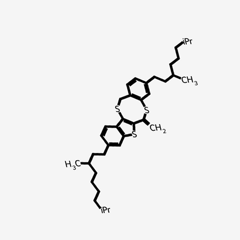 C=C1Sc2cc(CCC(C)CCCC(C)C)ccc2CSc2c1sc1cc(CCC(C)CCCCC(C)C)ccc21